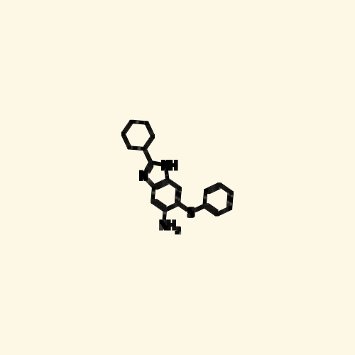 Nc1cc2nc(C3CCCCC3)[nH]c2cc1Sc1ccccc1